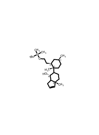 C[C@H]1CC[C@](C)(C2CC[C@]3(C)C=CCC3[C@@H]2O)[C@@H](CCO[Si](C)(C)C(C)(C)C)C1